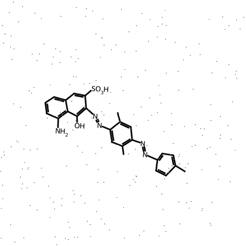 Cc1ccc(/N=N/c2cc(C)c(/N=N/c3c(S(=O)(=O)O)cc4cccc(N)c4c3O)cc2C)cc1